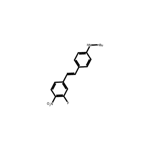 CCCCNc1ccc(C=Cc2ccc([N+](=O)[O-])c(F)c2)cc1